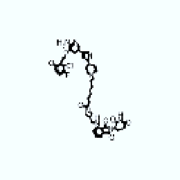 Nc1ncc(-c2cnn(C3CCN(CCCCCCCC(=O)N4CC(CNc5cccc6c5C(=O)N([C@H]5CCC(=O)NC5=O)C6=O)C4)CC3)c2)cc1OCCc1c(Cl)ccc(F)c1Cl